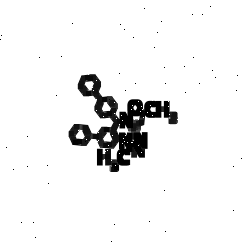 CC(=O)C[C@@H]1N=C(c2ccc(-c3ccccc3)cc2)c2cc(-c3ccccc3)ccc2-n2c(C)nnc21